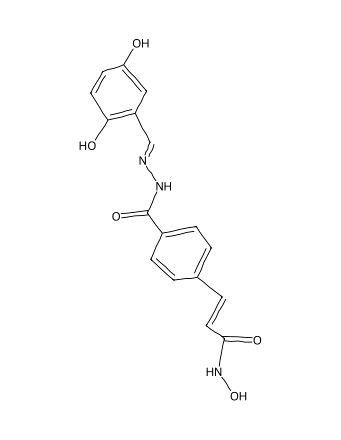 O=C(/C=C/c1ccc(C(=O)N/N=C/c2cc(O)ccc2O)cc1)NO